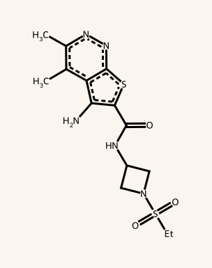 CCS(=O)(=O)N1CC(NC(=O)c2sc3nnc(C)c(C)c3c2N)C1